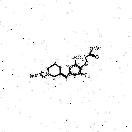 COBN1CCC/C(=C\c2cc(F)c(OCC(=O)OC)c([N+](=O)[O-])c2)C1